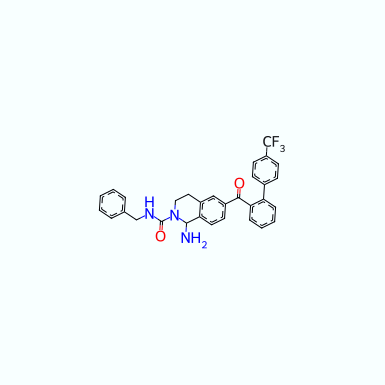 NC1c2ccc(C(=O)c3ccccc3-c3ccc(C(F)(F)F)cc3)cc2CCN1C(=O)NCc1ccccc1